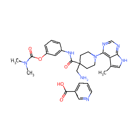 Cc1c[nH]c2ncnc(N3CCC(CN)(C(=O)Nc4cccc(OC(=O)N(C)C)c4)CC3)c12.O=C(O)c1cccnc1